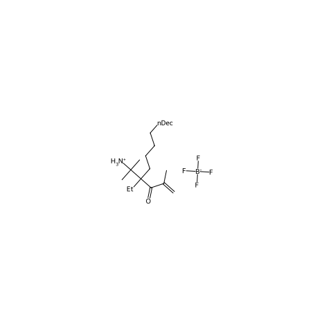 C=C(C)C(=O)C(CC)(CCCCCCCCCCCCCC)C(C)(C)[NH3+].F[B-](F)(F)F